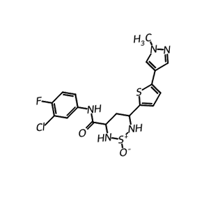 Cn1cc(-c2ccc(C3CC(C(=O)Nc4ccc(F)c(Cl)c4)N[S+]([O-])N3)s2)cn1